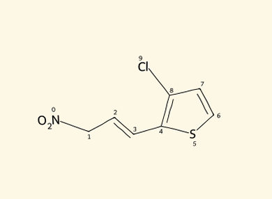 O=[N+]([O-])CC=Cc1sccc1Cl